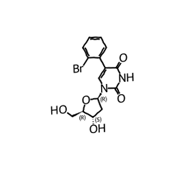 O=c1[nH]c(=O)n([C@H]2C[C@H](O)[C@@H](CO)O2)cc1-c1ccccc1Br